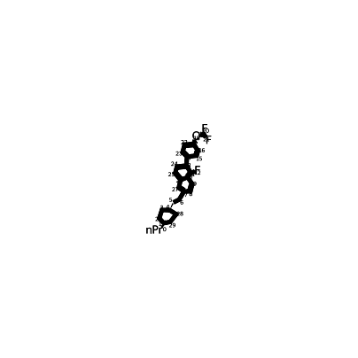 CCC[C@H]1CC[C@H](CCc2ccc3c(F)c(-c4ccc(OC(F)F)cc4)ccc3c2)CC1